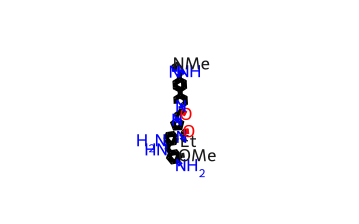 CCN(C(=O)[C@@H]1CCN(CC(=O)N2CC=C(c3ccc(C(=N)/N=C\NC)cc3)CC2)C1)c1ccc(N)c(C(=N)c2ccc(N)c(OC)c2)c1